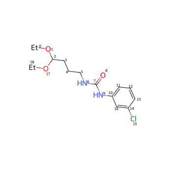 CCOC(CCCNC(=O)Nc1cccc(Cl)c1)OCC